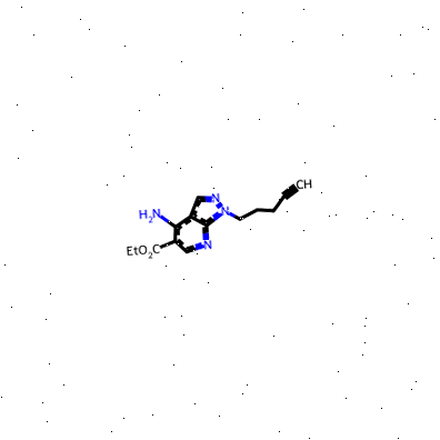 C#CCCCn1ncc2c(N)c(C(=O)OCC)cnc21